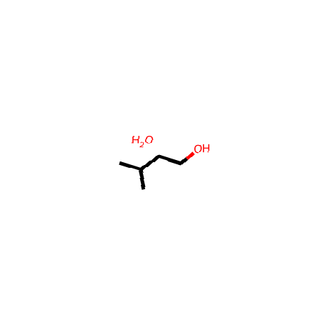 CC(C)CCO.O